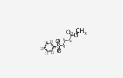 COC(=O)CCCS(=O)(=O)c1ccccc1